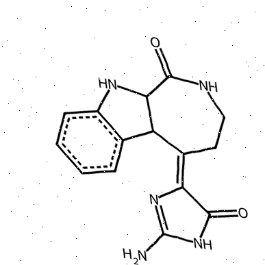 NC1=NC(=C2CCNC(=O)C3Nc4ccccc4C23)C(=O)N1